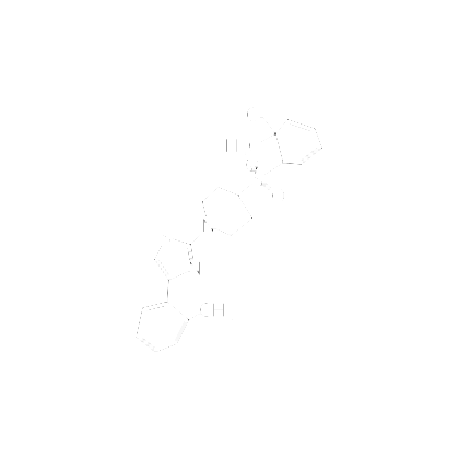 Cc1ccccc1-c1csc(N2CCC(S(=O)(=O)C3C=CC=CC3(C)Cl)CC2)n1